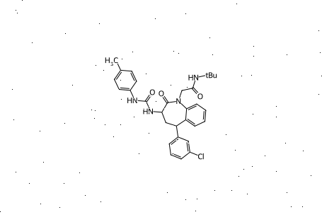 Cc1ccc(NC(=O)NC2CC(c3cccc(Cl)c3)c3ccccc3N(CC(=O)NC(C)(C)C)C2=O)cc1